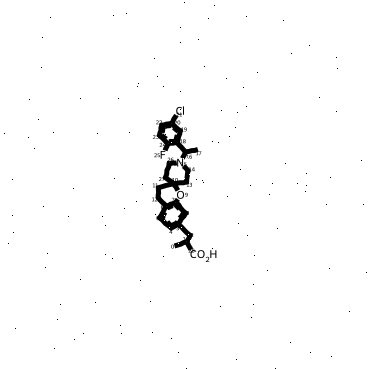 CC(Cc1ccc2c(c1)OC1(CC2)CCN(C(C)c2cc(Cl)ccc2F)CC1)C(=O)O